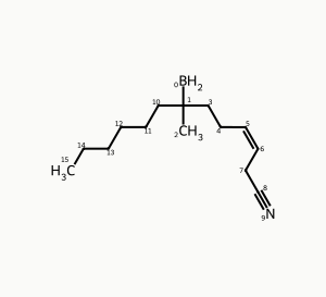 BC(C)(CC/C=C\CC#N)CCCCCC